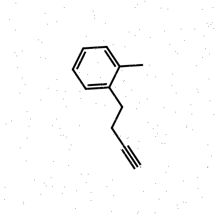 [C]#CCCc1ccccc1C